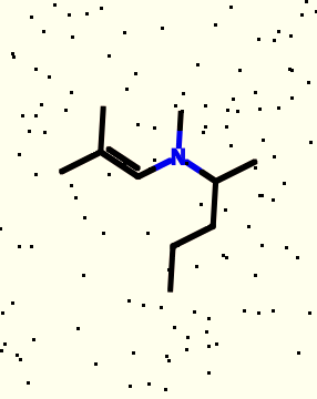 CCCC(C)N(C)C=C(C)C